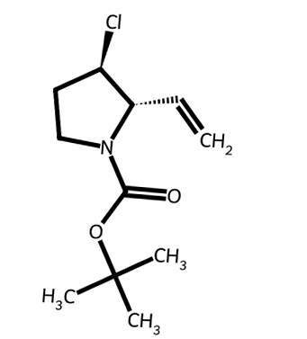 C=C[C@H]1[C@H](Cl)CCN1C(=O)OC(C)(C)C